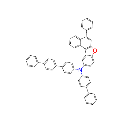 c1ccc(-c2ccc(-c3ccc(N(c4ccc(-c5ccccc5)cc4)c4ccc5oc6cc(-c7ccccc7)c7ccccc7c6c5c4)cc3)cc2)cc1